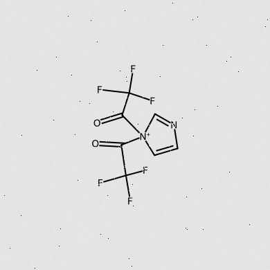 O=C(C(F)(F)F)[N+]1(C(=O)C(F)(F)F)C=CN=C1